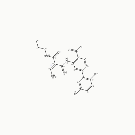 C=C(C)c1cnc(-c2cc(Cl)ccc2F)cc1NC(=N)/C(=C\N)C(=O)NCCC